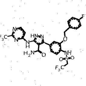 NC(=O)c1c(-c2ccc(NS(=O)(=O)CC(F)(F)F)c(OCc3ccc(F)cc3)c2)n[nH]c1Nc1ccnc(C(F)(F)F)n1